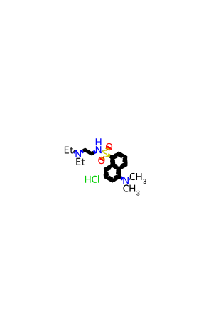 CCN(CC)CCNS(=O)(=O)c1cccc2c(N(C)C)cccc12.Cl